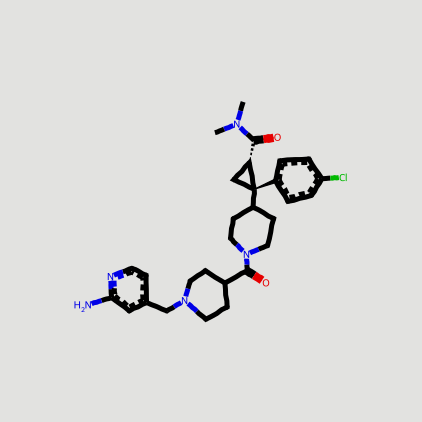 CN(C)C(=O)[C@H]1C[C@@]1(c1ccc(Cl)cc1)C1CCN(C(=O)C2CCN(Cc3ccnc(N)c3)CC2)CC1